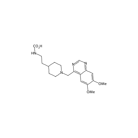 COc1cc2ncnc(CN3CCC(CCNC(=O)O)CC3)c2cc1OC